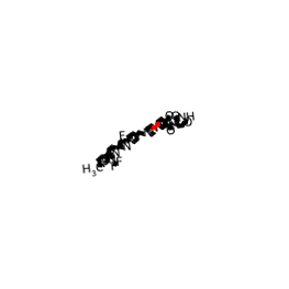 CN1CCc2c(n(C(F)F)c3nc(-c4cnc(N5CCC(CCN6CCN(c7ccc8c(c7)C(=O)N(C7CCC(=O)NC7=O)C8=O)CC6)CC5)c(F)c4)ccc23)C1